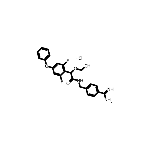 CCOC(C(=O)NCc1ccc(C(=N)N)cc1)c1c(F)cc(Oc2ccccc2)cc1F.Cl